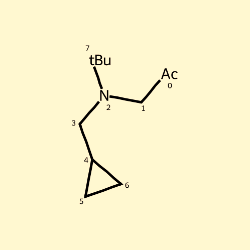 CC(=O)CN(CC1CC1)C(C)(C)C